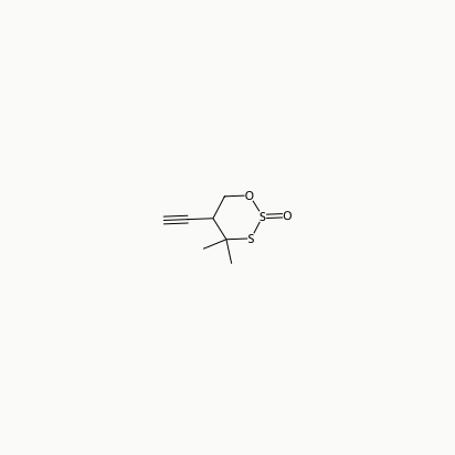 C#CC1COS(=O)SC1(C)C